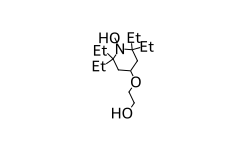 CCC1(CC)CC(OCCO)CC(CC)(CC)N1O